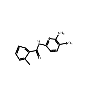 Cc1ccccc1C(=O)Nc1ccc([N+](=O)[O-])c(N)n1